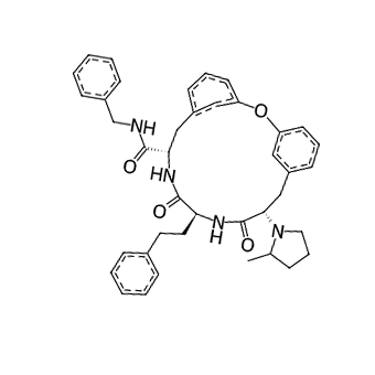 CC1CCCN1[C@H]1Cc2cccc(c2)Oc2cccc(c2)C[C@@H](C(=O)NCc2ccccc2)NC(=O)[C@H](CCc2ccccc2)NC1=O